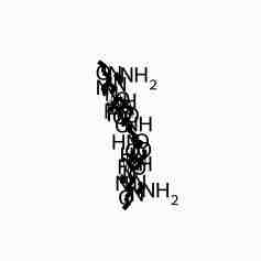 CCOc1nc(N)nc2c1ncn2[C@@H]1O[C@@H]2COP(=O)(NCCNP3(=O)OC[C@H]4O[C@@H](n5cnc6c(OCC)nc(N)nc65)[C@](C)(F)[C@@H]4O3)O[C@H]2[C@@]1(C)F